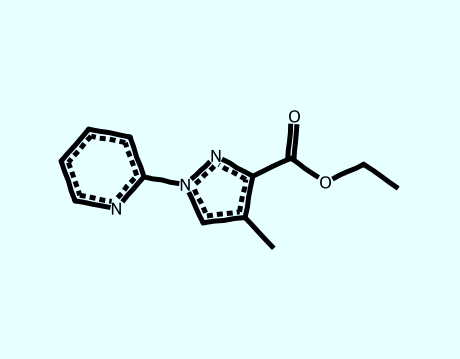 CCOC(=O)c1nn(-c2ccccn2)cc1C